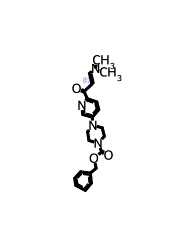 CN(C)/C=C/C(=O)c1ccc(N2CCN(C(=O)OCc3ccccc3)CC2)cn1